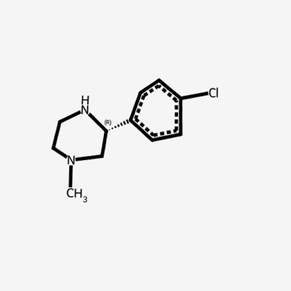 CN1CCN[C@H](c2ccc(Cl)cc2)C1